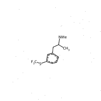 CNC(C)Cc1cccc(SC(F)(F)F)c1